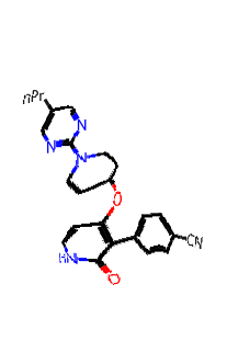 CCCc1cnc(N2CCC(Oc3cc[nH]c(=O)c3-c3ccc(C#N)cc3)CC2)nc1